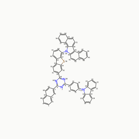 c1ccc2cc(-c3nc(-c4ccc(-n5c6ccccc6c6ccccc65)cc4)nc(-c4ccc5c(c4)sc4c(-n6c7ccc8ccccc8c7c7ccc8ccccc8c76)cccc45)n3)ccc2c1